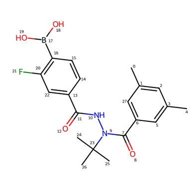 Cc1cc(C)cc(C(=O)N(NC(=O)c2ccc(B(O)O)c(F)c2)C(C)(C)C)c1